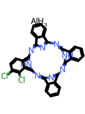 Clc1ccc2c3nc4nc(nc5[nH]c(nc6nc(nc([nH]3)c2c1Cl)-c1ccccc1-6)c1ccccc51)-c1ccccc1-4.[AlH3]